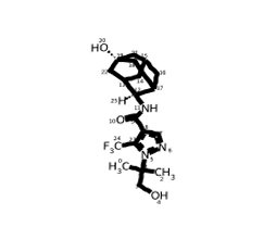 CC(C)(CO)n1ncc(C(=O)N[C@H]2C3CC4CC2C[C@](O)(C4)C3)c1C(F)(F)F